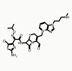 CNCCCn1cnc2c1ccc[n+]2CC1=C(C=O)N2C(=O)C(NC(=O)/C(=N\OC(C)C)c3nc(N)sc3Cl)C2SC1